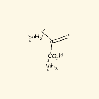 C=C(C)C(=O)O.[InH3].[SnH2]